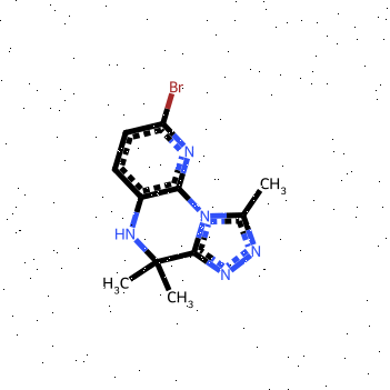 Cc1nnc2n1-c1nc(Br)ccc1NC2(C)C